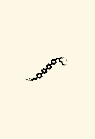 CCCCC1CCC(c2ccc(-c3ccc(C4CCC(CC(CC)CCCC)CC4)cc3)cc2)CC1